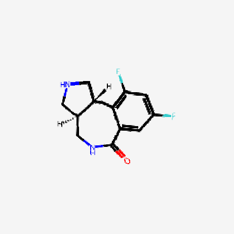 O=C1NC[C@H]2CNC[C@@H]2c2c(F)cc(F)cc21